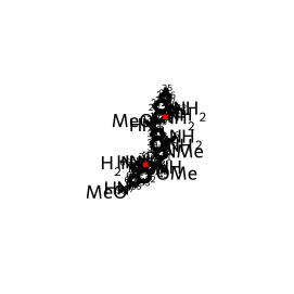 CNC(=N)C1(CCN)c2ccc(C(NOC)c3ccc4c(c3)CCc3cc(C)ccc3C4(CCN)C(=N)N)cc2CCc2cc(C(NOC)c3ccc4c(c3)CCc3cc(CNOC)ccc3C4(CCN)C(=N)NC(C)C)ccc21